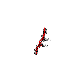 C=CC(=O)OCOC(=O)C1CCC(C(=O)Oc2ccc(OC(=O)C3CCC(C(=O)Oc4ccc(OC(=O)C5CCC(C(=O)OCOC(=O)C=C)CC5)cc4C(=O)OC)CC3)c(C(=O)OC)c2)CC1